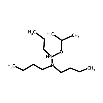 CCCCN(CCCC)[SiH](CCC)OC(C)C